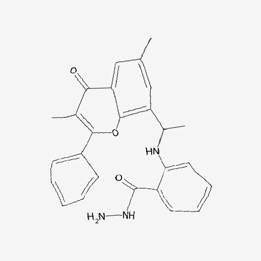 Cc1cc(C(C)Nc2ccccc2C(=O)NN)c2oc(-c3ccccc3)c(C)c(=O)c2c1